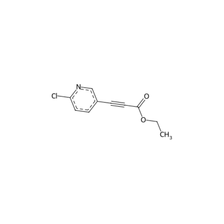 CCOC(=O)C#Cc1ccc(Cl)nc1